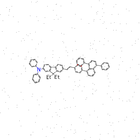 CCC1(CC)c2cc(/C=C/c3ccc(-c4cccc5c(-c6ccccc6)ccc(-c6ccccc6)c45)cc3)ccc2-c2ccc(N(c3ccccc3)c3ccccc3)cc21